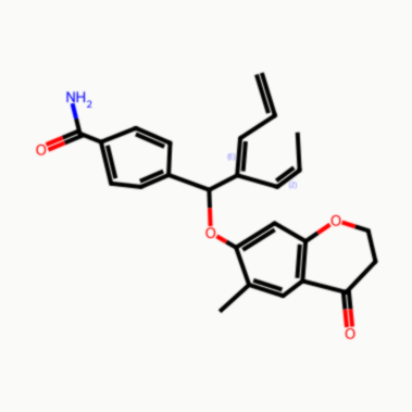 C=C/C=C(\C=C/C)C(Oc1cc2c(cc1C)C(=O)CCO2)c1ccc(C(N)=O)cc1